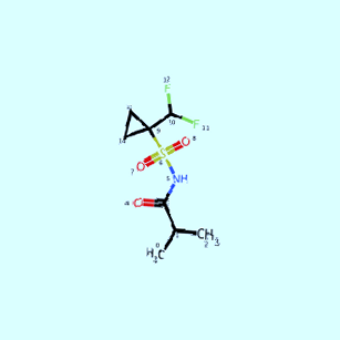 CC(C)C(=O)NS(=O)(=O)C1(C(F)F)CC1